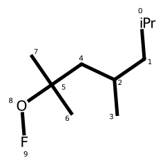 CC(C)CC(C)CC(C)(C)OF